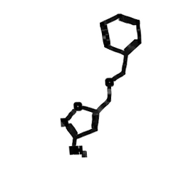 Nc1cc(COCc2ccccc2)on1